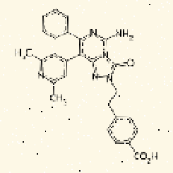 Cc1cc(-c2c(-c3ccccc3)nc(N)n3c(=O)n(CCc4ccc(C(=O)O)cc4)nc23)cc(C)n1